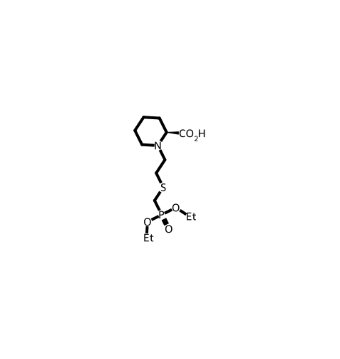 CCOP(=O)(CSCCN1CCCC[C@H]1C(=O)O)OCC